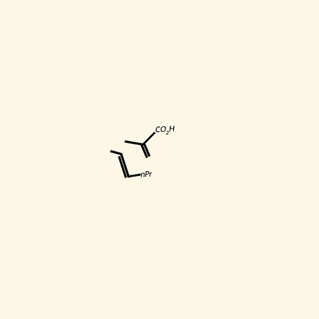 C/C=C/CCC.C=C(C)C(=O)O